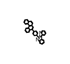 C1=CC(c2nc3ccccc3n2-c2ccccn2)CC=C1c1cc2ccc3ccccc3c2c2ccccc12